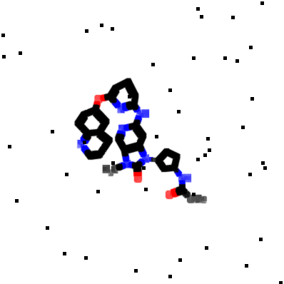 COC(=O)N[C@@H]1CC[C@@H](n2c(=O)n(C)c3cnc(Nc4cccc(Oc5ccc6ncccc6c5)n4)cc32)C1